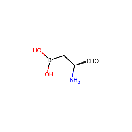 N[C@H](C=O)CB(O)O